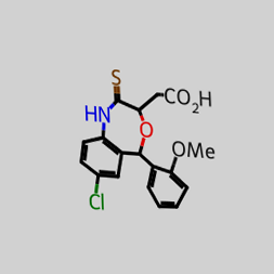 COc1ccccc1C1OC(CC(=O)O)C(=S)Nc2ccc(Cl)cc21